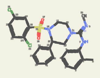 Cc1ccccc1N/C(=N/C#N)N1CCN(S(=O)(=O)c2cc(Cl)ccc2Cl)C(c2ccccc2)C1